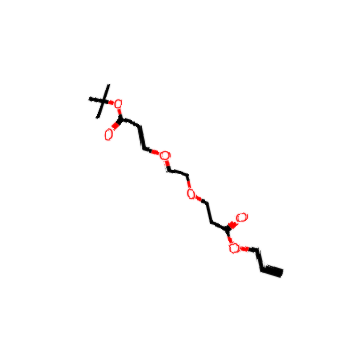 C=CCOC(=O)CCOCCOCCC(=O)OC(C)(C)C